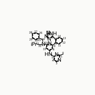 Cc1nccc(Nc2cc(-c3ccccc3-c3nnn[nH]3)nc(N(Cc3ccccc3)CC(C)C)c2)n1